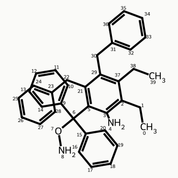 CCc1c(N)c(C(ON)(c2ccccc2)c2ccccc2)c(Cc2ccccc2)c(Cc2ccccc2)c1CC